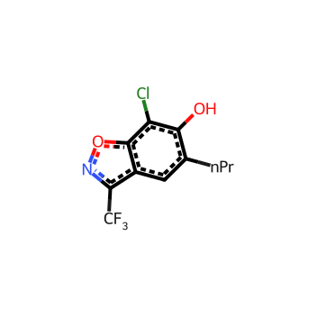 CCCc1cc2c(C(F)(F)F)noc2c(Cl)c1O